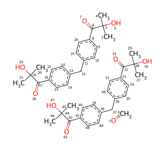 C=O.CC(C)(O)C(=O)c1ccc(Cc2ccc(C(=O)C(C)(C)O)cc2)cc1.CC(C)(O)C(=O)c1ccc(Cc2ccc(C(=O)C(C)(C)O)cc2)cc1